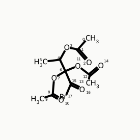 CC(=O)OC(C)C(OC(C)=O)(OC(C)=O)C(=O)Br